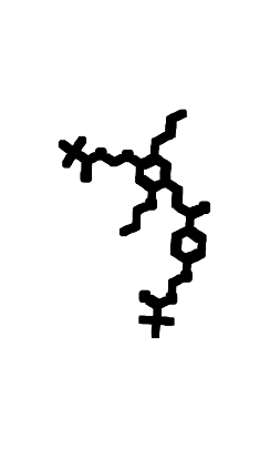 CC=CCc1cc(C=CC(=O)c2ccc(OCOC(=O)C(C)(C)C)cc2)c(OCCC)cc1OCOC(=O)C(C)(C)C